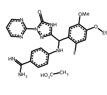 CC(=O)O.CCOc1cc(F)c(C(Nc2ccc(C(=N)N)cc2)c2nn(-c3ncccn3)c(=O)[nH]2)cc1OC